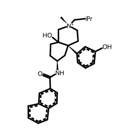 CC(C)C[N@+]1(C)CC[C@]2(c3cccc(O)c3)C[C@@H](NC(=O)c3ccc4ccccc4c3)CCC2(O)C1